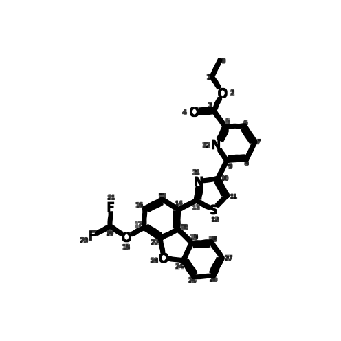 CCOC(=O)c1cccc(-c2csc(-c3ccc(OC(F)F)c4oc5ccccc5c34)n2)n1